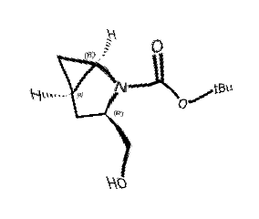 CC(C)(C)OC(=O)N1[C@@H](CO)C[C@H]2C[C@H]21